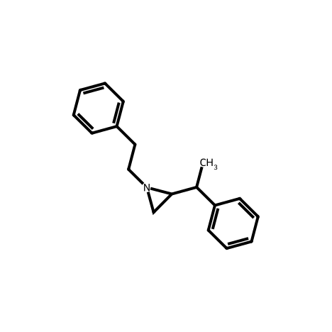 CC(c1ccccc1)C1CN1CCc1ccccc1